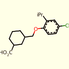 CC(C)c1cc(Cl)ccc1OCC1CCCC(C(=O)O)C1